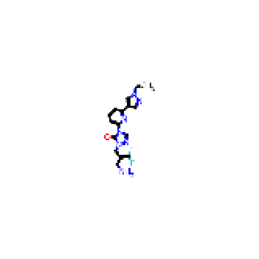 CCn1cc(-c2cccc(-n3cnn(CC(CN)=C(F)F)c3=O)n2)cn1